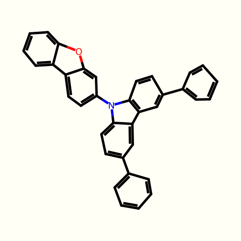 c1ccc(-c2ccc3c(c2)c2cc(-c4ccccc4)ccc2n3-c2ccc3c(c2)oc2ccccc23)cc1